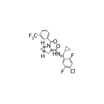 O=C(N[C@@H](c1cc(F)c(Cl)cc1F)C1CC1)[C@H]1C[C@H]2C[C@H]2N1C(=O)c1cccc(C(F)(F)F)c1